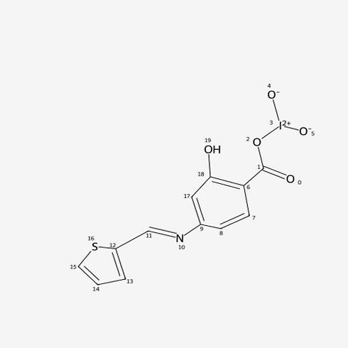 O=C(O[I+2]([O-])[O-])c1ccc(N=Cc2cccs2)cc1O